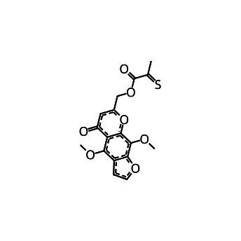 COc1c2occc2c(OC)c2c(=O)cc(COC(=O)C(C)=S)oc12